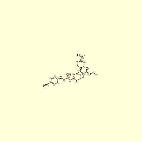 CCOC(=O)N1CC2CC(CN(CC(O)COc3ccc(C#N)cc3)C2)C1N1CCN(C(C)=O)CC1